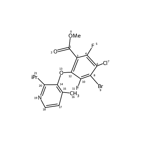 COC(=O)c1c(F)c(Cl)c(Br)c(F)c1Oc1c(C)ccnc1C(C)C